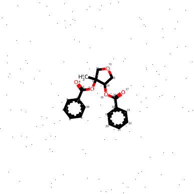 CC1(OC(=O)c2ccccc2)COCC1OC(=O)c1ccccc1